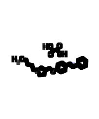 CCCCCN1CCC(COc2ccc(/C=C/c3ccccc3)cc2)C1.O=C(O)C(=O)O